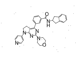 O=C(NC1Cc2ccccc2C1)c1cccc(-c2nc(N3CCOCC3)nc3c2CCN3c2ccncc2)c1